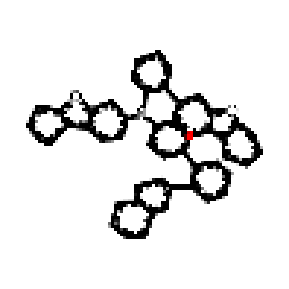 c1ccc(-c2ccc3ccccc3c2)c(-c2ccc(N(c3ccc4c(c3)oc3ccccc34)c3ccccc3-c3ccc4c(c3)oc3ccccc34)cc2)c1